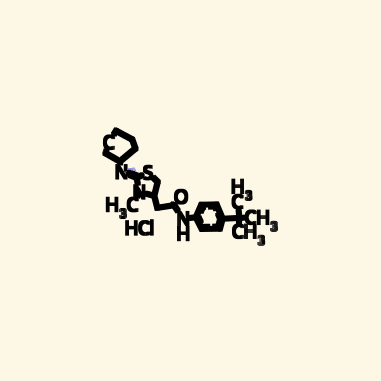 CN1/C(=N/C2CCCCC2)SCC1CC(=O)Nc1ccc(C(C)(C)C)cc1.Cl